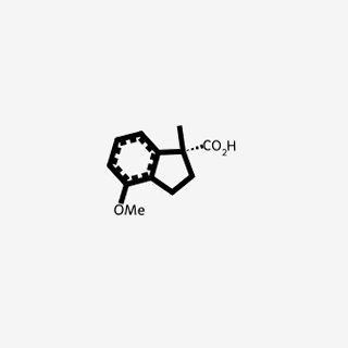 COc1cccc2c1CC[C@@]2(C)C(=O)O